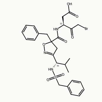 CC(C)[C@H](NS(=O)(=O)Cc1ccccc1)C1=NOC(Cc2ccccc2)(C(=O)N[C@@H](CC(=O)O)C(=O)CBr)C1